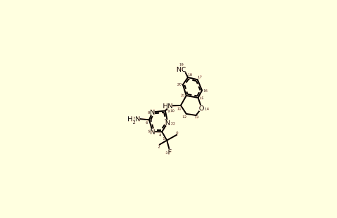 CC(C)(F)c1nc(N)nc(NC2CCOc3ccc(C#N)cc32)n1